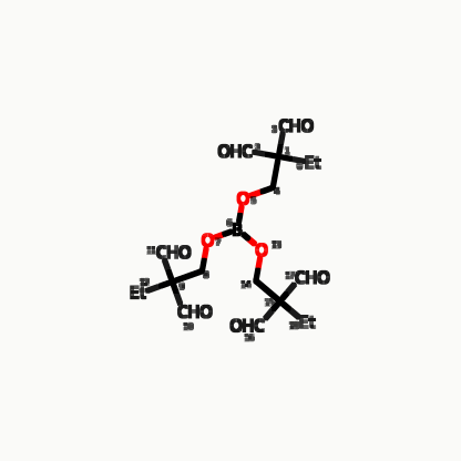 CCC(C=O)(C=O)COB(OCC(C=O)(C=O)CC)OCC(C=O)(C=O)CC